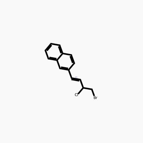 ClC(/C=C/c1ccc2ccccc2c1)CBr